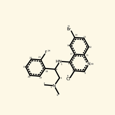 CN(C)CC(Nc1c(Cl)cnc2ccc(Br)cc12)c1ccccc1F